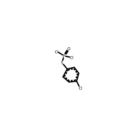 O=P(Cl)(Cl)Sc1ccc(Cl)cc1